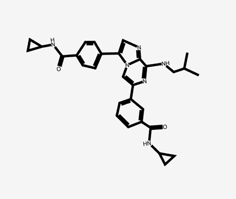 CC(C)CNc1nc(-c2cccc(C(=O)NC3CC3)c2)cn2c(-c3ccc(C(=O)NC4CC4)cc3)cnc12